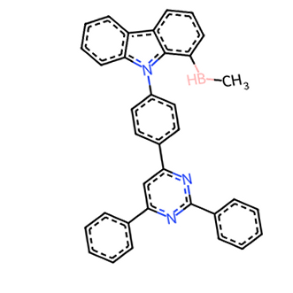 CBc1cccc2c3ccccc3n(-c3ccc(-c4cc(-c5ccccc5)nc(-c5ccccc5)n4)cc3)c12